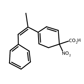 CC(=Cc1ccccc1)C1=CCC(C(=O)O)([N+](=O)[O-])C=C1